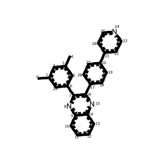 Cc1cc(C)cc(-c2nc3ccccc3nc2-c2ccc(-c3ccncc3)cc2)c1